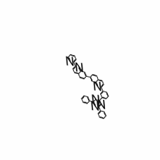 c1ccc(-c2nc(-c3ccccc3)nc(-c3cccc(-c4ccc5ccc(-c6ccc7ccc(-c8ccccn8)nc7c6)cc5n4)c3)n2)cc1